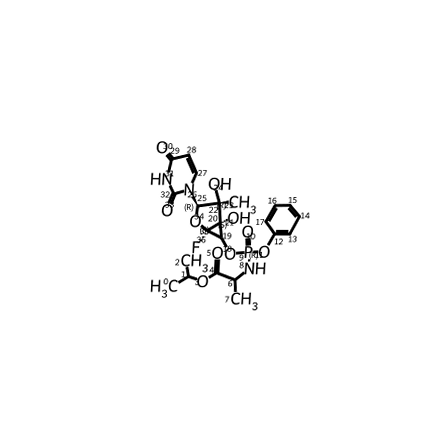 CC(C)OC(=O)C(C)N[P@](=O)(Oc1ccccc1)OC1[C@]2(O)[C@@](C)(O)[C@H](n3ccc(=O)[nH]c3=O)O[C@]12F